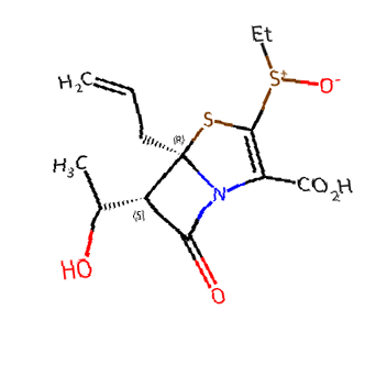 C=CC[C@]12SC([S+]([O-])CC)=C(C(=O)O)N1C(=O)[C@@H]2C(C)O